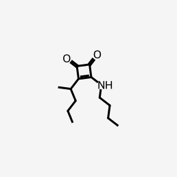 CCCCNc1c(C(C)CCC)c(=O)c1=O